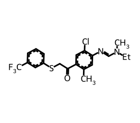 CCN(C)C=Nc1cc(C)c(C(=O)CSc2cccc(C(F)(F)F)c2)cc1Cl